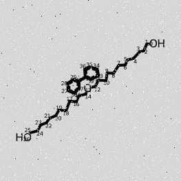 OCCCCCCCCCCCCOCCCCCCCCCCCCO.c1ccc(-c2ccccc2)cc1